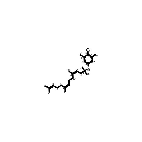 CC(C)=CCCC(C)=CCCC(C)=CCC(C)(C)Sc1cc(C)c(O)c(C)c1